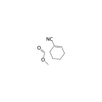 COC=O.N#CC1=CCCCC1